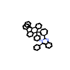 C1=CC(C2(c3ccccc3)c3ccccc3C3(c4ccccc4)c4ccccc4-c4cccc2c43)=CC(C2N=c3ccccc3=C(c3ccccc3)N2)C=C1